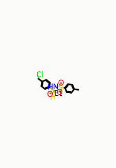 CC[SH](=O)(NS(=O)(=O)c1ccc(C)cc1)c1ccc(CCl)cc1